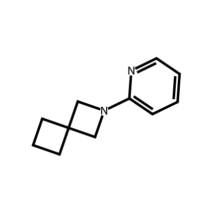 c1ccc(N2CC3(CCC3)C2)nc1